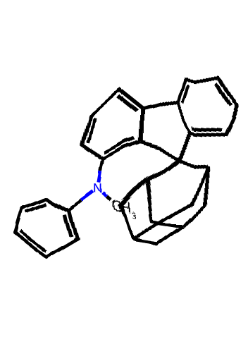 CN(c1ccccc1)c1cccc2c1C1(c3ccccc3-2)C2CC3CC(C2)CC1C3